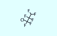 F[C](F)C(F)(F)C(F)(F)Cl